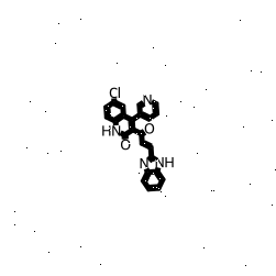 O=C(C=Cc1nc2ccccc2[nH]1)c1c(-c2cccnc2)c2cc(Cl)ccc2[nH]c1=O